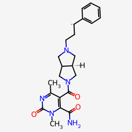 Cc1nc(=O)n(C)c(C(N)=O)c1C(=O)N1CC2CN(CC[CH]c3ccccc3)C[C@H]2C1